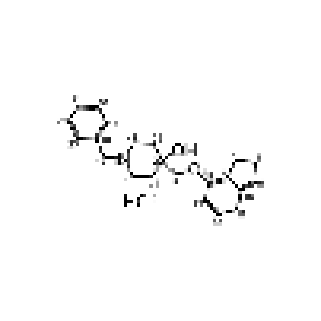 Cl.OC1(COC2=C3CCC=C3CC=C2)CCN(Cc2ccccc2)CC1